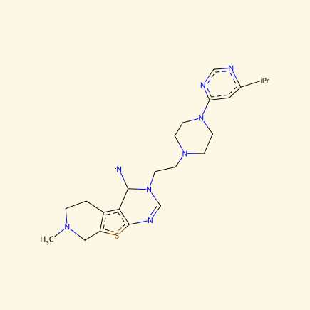 CC(C)c1cc(N2CCN(CCN3C=Nc4sc5c(c4C3[N])CCN(C)C5)CC2)ncn1